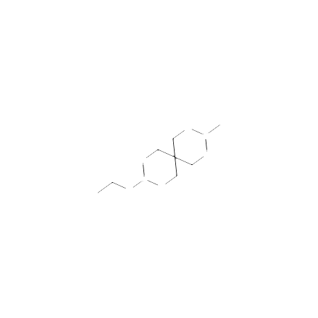 CCOP1OCC2(COP(C)OC2)CO1